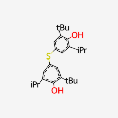 CC(C)c1cc(Sc2cc(C(C)C)c(O)c(C(C)(C)C)c2)cc(C(C)(C)C)c1O